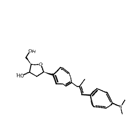 C/C(=C\c1ccc(N(C)C)cc1)c1ccc([C@H]2CC(O)[C@@H](CO)O2)cc1